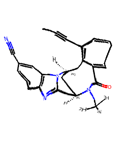 [2H]C([2H])([2H])N1C(=O)c2cccc(C#CC)c2[C@H]2C[C@@H]1c1nc3ccc(C#N)cc3n12